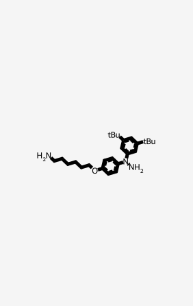 CC(C)(C)c1cc(N(N)c2ccc(OCCCCCCN)cc2)cc(C(C)(C)C)c1